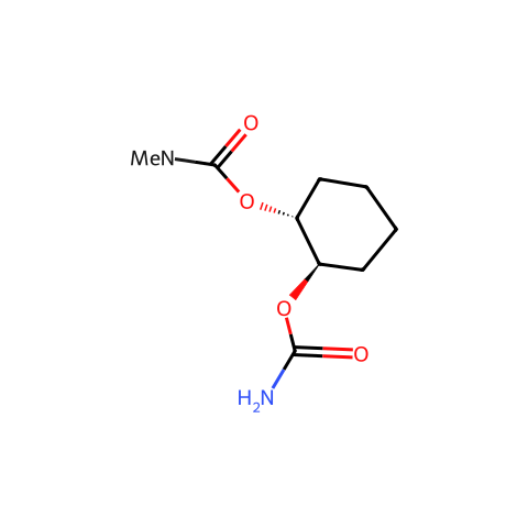 CNC(=O)O[C@@H]1CCCC[C@H]1OC(N)=O